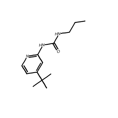 CCCNC(=O)Nc1cc(C(C)(C)C)ccn1